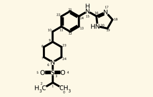 CC(C)S(=O)(=O)N1CCC(Cc2ccc(NC3=NCCN3)cc2)CC1